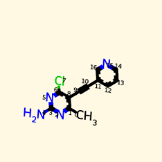 Cc1nc(N)nc(Cl)c1C#Cc1cccnc1